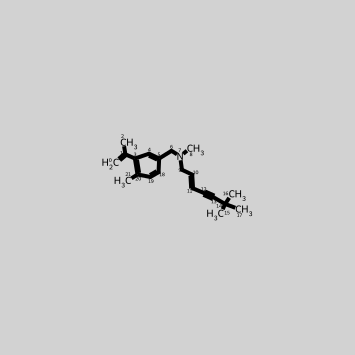 C=C(C)c1cc(CN(C)C/C=C/C#CC(C)(C)C)ccc1C